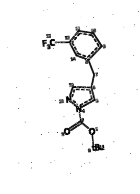 CC(C)(C)OC(=O)n1cc(Cc2cccc(C(F)(F)F)c2)cn1